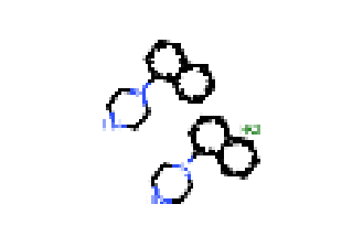 Cl.c1ccc2c(N3CCNCC3)cccc2c1.c1ccc2c(N3CCNCC3)cccc2c1